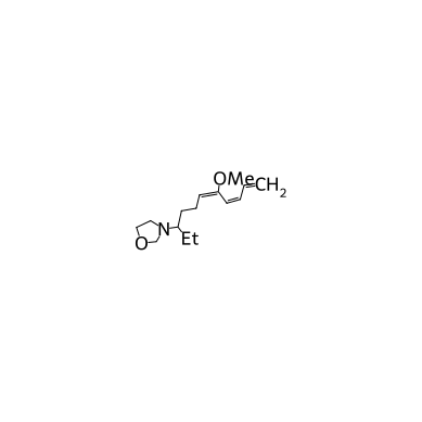 C=C/C=C\C(=C/CCC(CC)N1CCOC1)OC